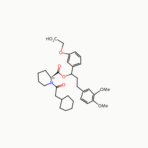 COc1ccc(CCC(OC(=O)[C@@H]2CCCCN2C(=O)CC2CCCCC2)c2cccc(OCC(=O)O)c2)cc1OC